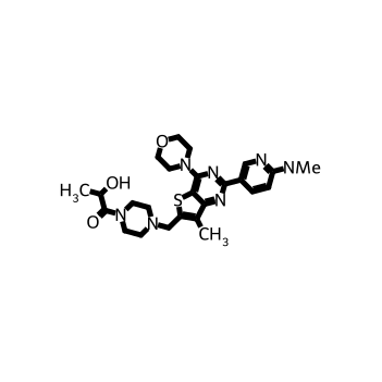 CNc1ccc(-c2nc(N3CCOCC3)c3sc(CN4CCN(C(=O)C(C)O)CC4)c(C)c3n2)cn1